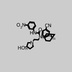 N#Cc1cccc([C@]23CC[C@@H](N(CCN4CC[C@@H](O)C4)C(=O)Nc4cccc([N+](=O)[O-])c4)CC2C3)c1